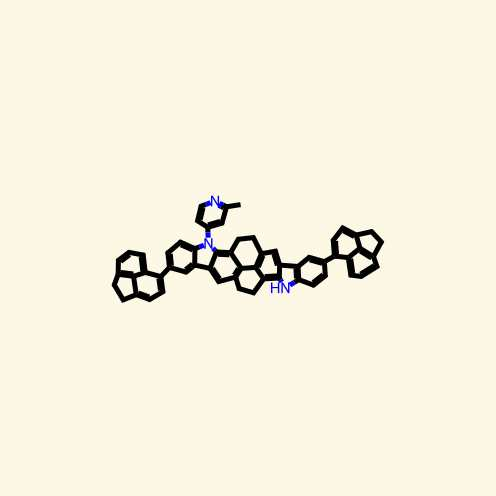 Cc1cc(-n2c3ccc(-c4ccc5c6c(cccc46)CC5)cc3c3cc4c5c(c32)CCc2cc3c([nH]c6ccc(-c7ccc8c9c(cccc79)CC8)cc63)c(c2-5)CC4)ccn1